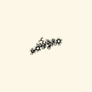 CC(C)CC(NC(=O)c1ccc(-c2cccs2)cc1)C(=O)N1CC=C2C1C(=O)CN2C(=O)Oc1ccccc1